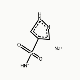 [NH-]S(=O)(=O)c1cn[nH]c1.[Na+]